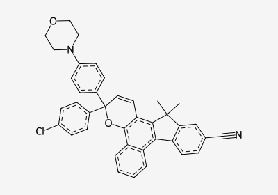 CC1(C)c2cc(C#N)ccc2-c2c1c1c(c3ccccc23)OC(c2ccc(Cl)cc2)(c2ccc(N3CCOCC3)cc2)C=C1